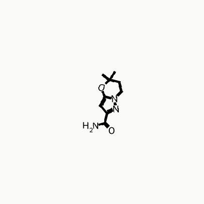 CC1(C)CCn2nc(C(N)=O)cc2O1